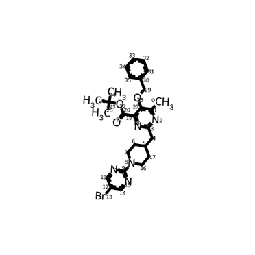 Cc1nc(CC2CCN(c3ncc(Br)cn3)CC2)nc(C(=O)OC(C)(C)C)c1OCc1ccccc1